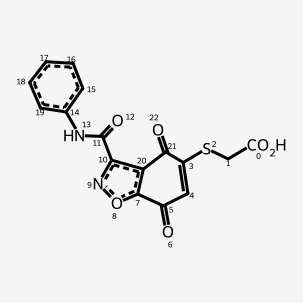 O=C(O)CSC1=CC(=O)c2onc(C(=O)Nc3ccccc3)c2C1=O